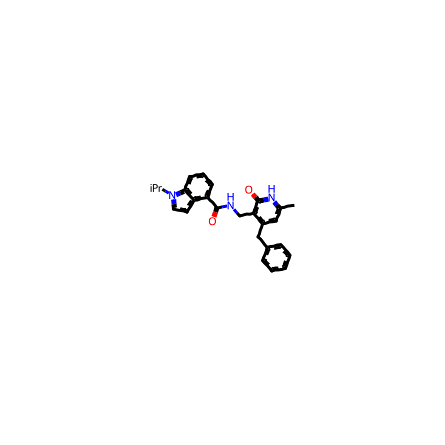 Cc1cc(Cc2ccccc2)c(CNC(=O)c2cccc3c2ccn3C(C)C)c(=O)[nH]1